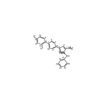 CC(=O)c1cc(-c2ccc(-c3ccc(C)cc3C)cc2)nn1Cc1ccccc1